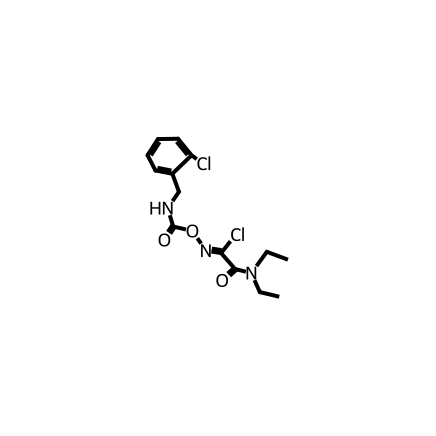 CCN(CC)C(=O)C(Cl)=NOC(=O)NCc1ccccc1Cl